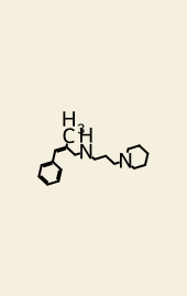 CC(=Cc1ccccc1)CNCCCN1CCCCC1